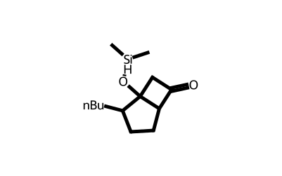 CCCCC1CCC2C(=O)CC12O[SiH](C)C